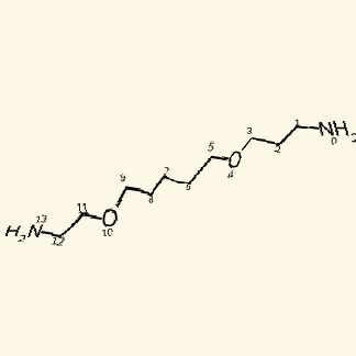 NCCCOCCCCCOCCN